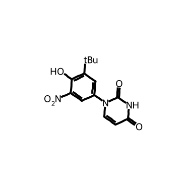 CC(C)(C)c1cc(-n2ccc(=O)[nH]c2=O)cc([N+](=O)[O-])c1O